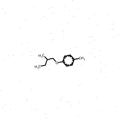 CCC(C)COc1ccc(C)cc1